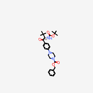 CC(C)(C)OC(=O)N[C@H](C(=O)c1ccc(N2CCN(C(=O)OCc3ccccc3)CC2)cc1)C(C)(C)C